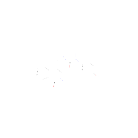 CC(C)CN(C(=O)NC1=CC(Cl)C(=O)C=C1)C(C)c1c[nH]c(=O)c2ccccc12